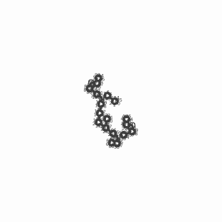 c1ccc(-c2cccc(N(c3ccc(-c4ccc(-c5cccc(-c6ccc(-c7ccc(N(c8ccc(-c9cccc%10oc%11c%12ccccc%12ccc%11c9%10)cc8)c8cccc9ccccc89)cc7)cc6-c6ccccc6)c5)cc4)cc3)c3ccc(-c4cccc5oc6c7ccccc7ccc6c45)cc3)c2)cc1